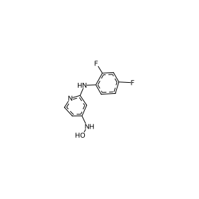 ONc1ccnc(Nc2ccc(F)cc2F)c1